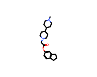 CN1CCC(C2CCN(CC(=O)Oc3ccc4c(c3)CCC4)CC2)CC1